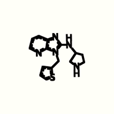 c1csc(Cn2c(NC3CCNC3)nc3cccnc32)c1